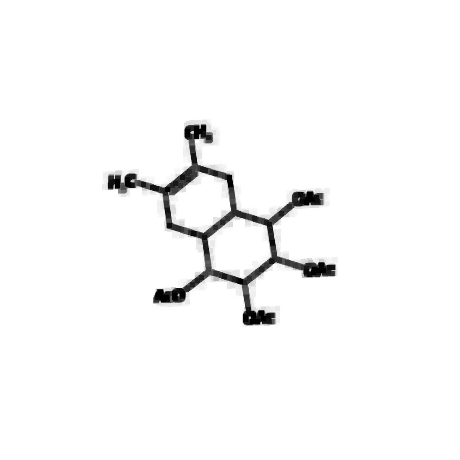 CC(=O)OC1C2CC(C)=C(C)CC2C(OC(C)=O)C(OC(C)=O)C1OC(C)=O